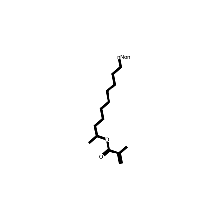 C=C(C)C(=O)OC(C)CCCCCCCCCCCCCCCCC